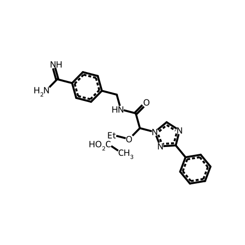 CC(=O)O.CCOC(C(=O)NCc1ccc(C(=N)N)cc1)n1cnc(-c2ccccc2)n1